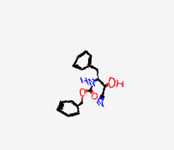 N#CC(O)[C@H](Cc1ccccc1)NC(=O)OCc1ccccc1